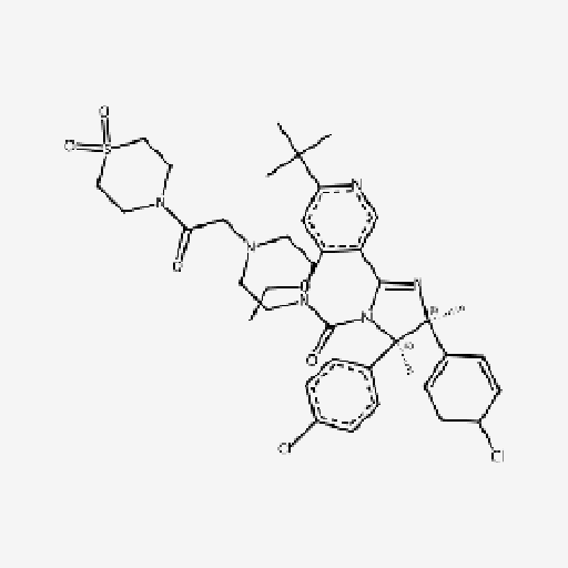 CCOc1cc(C(C)(C)C)ncc1C1=N[C@@](C)(C2=CCC(Cl)C=C2)[C@@](C)(c2ccc(Cl)cc2)N1C(=O)N1CCN(CC(=O)N2CCS(=O)(=O)CC2)CC1